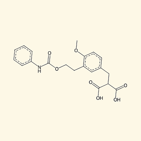 COc1ccc(CC(C(=O)O)C(=O)O)cc1CCOC(=O)Nc1ccccc1